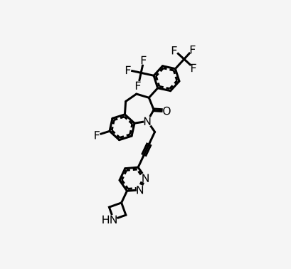 O=C1C(c2ccc(C(F)(F)F)cc2C(F)(F)F)CCc2cc(F)ccc2N1CC#Cc1ccc(C2CNC2)nn1